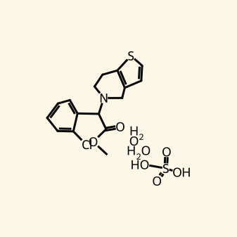 COC(=O)C(c1ccccc1Cl)N1CCc2sccc2C1.O.O.O=S(=O)(O)O